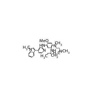 C=CC(=C)Nc1cc(Nc2cc(-c3cn(C)c4ccccc34)ccn2)c(OC)cc1N(C)CCN(C)C